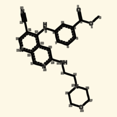 COC(=O)c1cccc(Nc2c(C#N)cnc3cnc(NCCN4CCOCC4)cc23)c1